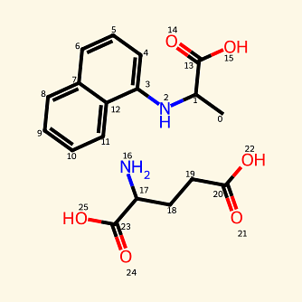 CC(Nc1cccc2ccccc12)C(=O)O.NC(CCC(=O)O)C(=O)O